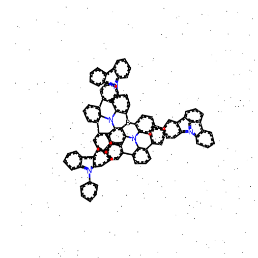 c1ccc(-c2cccc(-c3ccccc3)c2N2c3cc(-c4ccc5c(c4)c4cccc6c7ccccc7n5c64)ccc3B3c4ccc(-n5c6ccccc6c6ccccc65)cc4N(c4c(-c5ccccc5)cccc4-c4ccccc4)c4cc(-c5ccc6c(c5)c5ccccc5n6-c5ccccc5)cc2c43)cc1